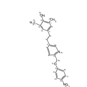 Cc1cc(CCc2ccc(COc3ccc([N+](=O)[O-])cc3)nc2)cc(C)c1O